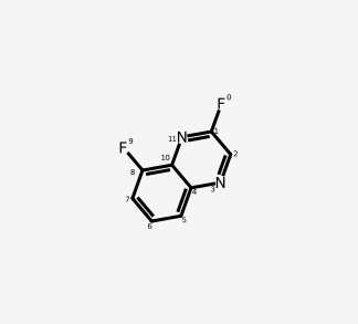 Fc1[c]nc2cccc(F)c2n1